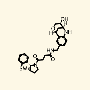 CSc1ccccc1[C@H]1CCCN1C(=O)CCC(=O)NCc1ccc2c(c1)[C@H]1C[C@@H](N2)[C@H](O)CO1